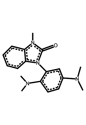 CN(C)c1ccc(N(C)C)c(-n2c(=O)n(C)c3ccccc32)c1